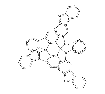 c1ccc(N(c2ccc3oc4ccccc4c3c2)C2(N(c3ccccc3)c3ccc4sc5ccccc5c4c3)c3cccc4c3C3(c5ccccc5-4)c4sc5ccccc5c4-c4cccc2c43)cc1